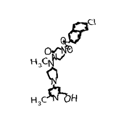 Cc1cc(N2CCC(N(C)N3CCN(S(=O)(=O)c4ccc5cc(Cl)ccc5c4)CC3=O)CC2)cc(CO)n1